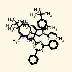 C=C(/C=C\C)N(CC(/C(C#N)=C\C)(/C(=C\C=C/C)c1nc(-c2ccccc2)nc(-c2ccccc2)n1)N1CCC(C)C(C)(C(C)(C)C)/C=C\C1=C)c1ccc(C(C)(C)C)cc1C